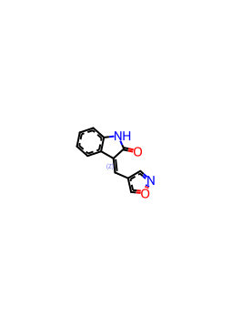 O=C1Nc2ccccc2/C1=C/c1cnoc1